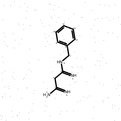 N=C(N)CC(=N)NCc1ccccc1